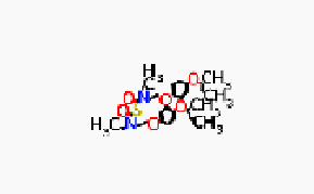 CCC(C)Oc1ccc(OCCN(CC)C(=O)SC(=O)N(CC)CCOc2ccc(OC(C)CC)cc2)cc1